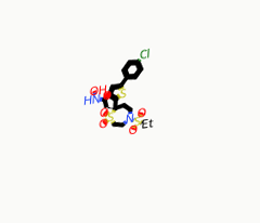 CCS(=O)(=O)N1CC[C@](CC(=O)NO)(c2ccc(-c3ccc(Cl)cc3)s2)S(=O)(=O)CC1